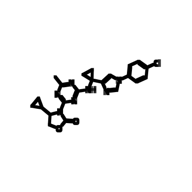 Cc1nc(NC2(c3cn(-c4ccc(Cl)cc4)cn3)CC2)nc(N2C(=O)OCC2C2CC2)n1